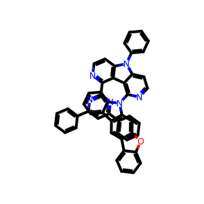 c1ccc(-c2cc(-c3ccccc3)nc(-c3nccc4c3c3c(-n5c6ccccc6c6cc7c(cc65)oc5ccccc57)nccc3n4-c3ccccc3)n2)cc1